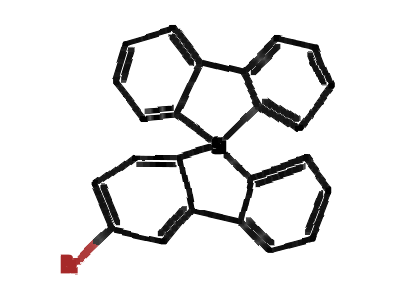 Brc1ccc2c(c1)-c1ccccc1[Si]21c2ccccc2-c2ccccc21